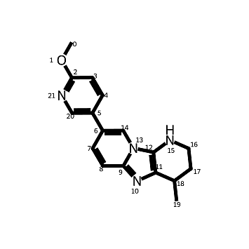 COc1ccc(-c2ccc3nc4c(n3c2)NCCC4C)cn1